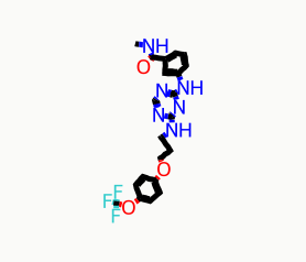 CNC(=O)c1cccc(Nc2ncnc(NCCCOc3ccc(OC(F)(F)F)cc3)n2)c1